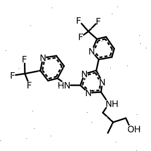 CC(CO)CNc1nc(Nc2ccnc(C(F)(F)F)c2)nc(-c2cccc(C(F)(F)F)n2)n1